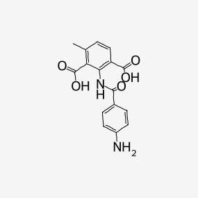 Cc1ccc(C(=O)O)c(NC(=O)c2ccc(N)cc2)c1C(=O)O